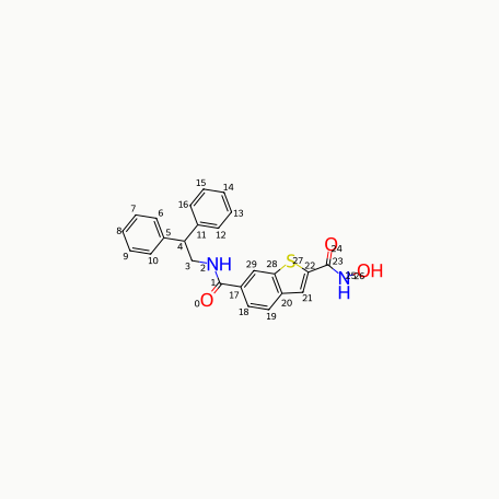 O=C(NCC(c1ccccc1)c1ccccc1)c1ccc2cc(C(=O)NO)sc2c1